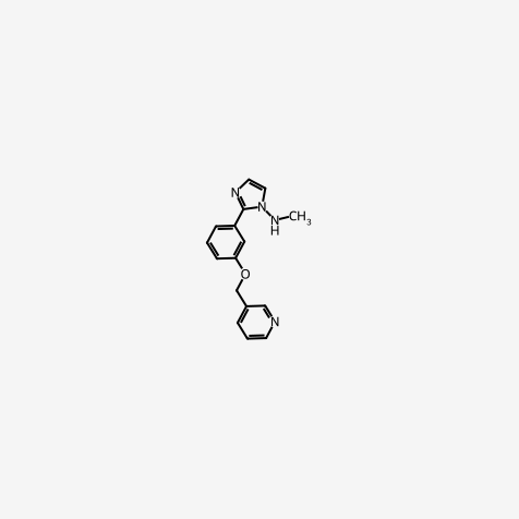 CNn1ccnc1-c1cccc(OCc2cccnc2)c1